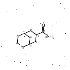 NC(=O)C1CC2[CH]C(CCC2)C1